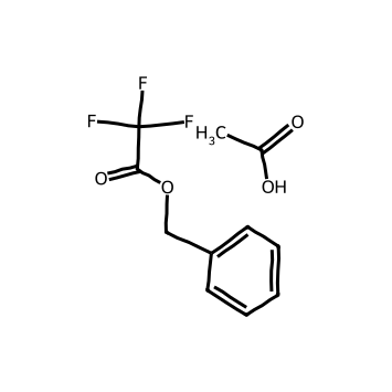 CC(=O)O.O=C(OCc1ccccc1)C(F)(F)F